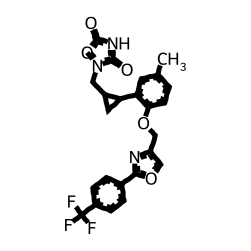 Cc1ccc(OCc2coc(-c3ccc(C(F)(F)F)cc3)n2)c(C2CC2Cn2oc(=O)[nH]c2=O)c1